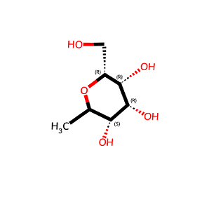 CC1O[C@H](CO)[C@H](O)[C@H](O)[C@@H]1O